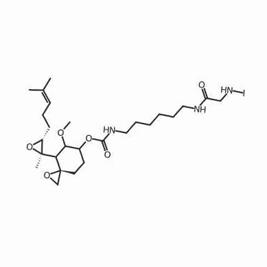 COC1C(OC(=O)NCCCCCCNC(=O)CNI)CC[C@]2(CO2)C1[C@@]1(C)O[C@@H]1CCC=C(C)C